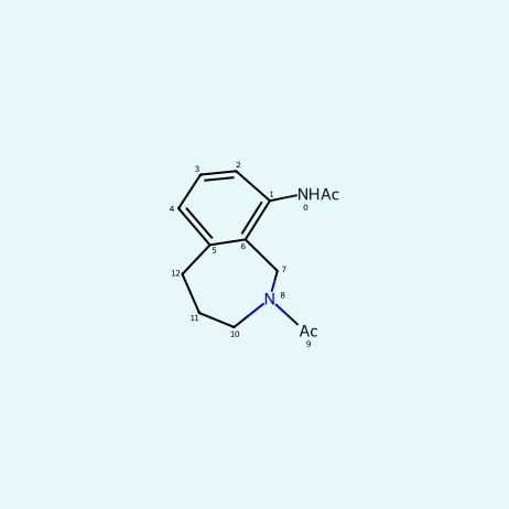 CC(=O)Nc1cccc2c1CN(C(C)=O)CCC2